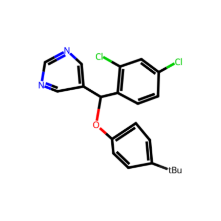 CC(C)(C)c1ccc(OC(c2cncnc2)c2ccc(Cl)cc2Cl)cc1